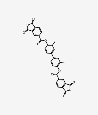 Cc1cc(-c2ccc(OC(=O)c3ccc4c(c3)C(=O)OC4=O)c(C)c2)ccc1OC(=O)c1ccc2c(c1)C(=O)OC2=O